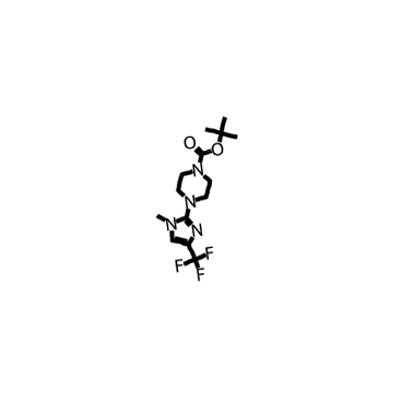 Cn1cc(C(F)(F)F)nc1N1CCN(C(=O)OC(C)(C)C)CC1